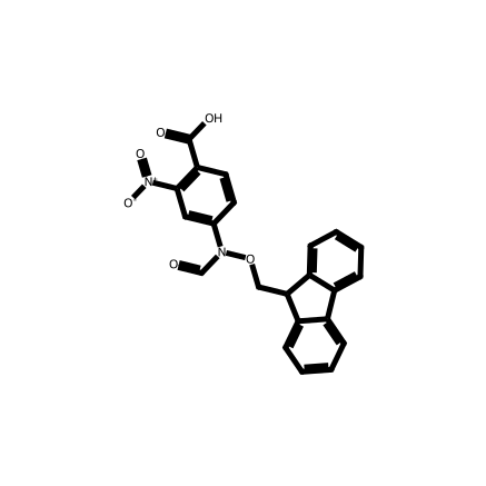 O=CN(OCC1c2ccccc2-c2ccccc21)c1ccc(C(=O)O)c([N+](=O)[O-])c1